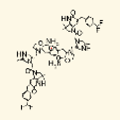 C[C@@H]1CN(CC(=O)N2CC(C)(C)c3[nH]c(=O)c(Cc4ccc(C(F)F)cc4)cc32)[C@@H](CN2CCOC(C(N)=O)C2Cc2ccc(CC3C(C(N)=O)OCCN3C[C@H]3CN[C@H](C)CN3CC(=O)N3CC(C)(C)c4[nH]c(=O)c(Cc5ccc(C(F)F)cc5)cc43)cc2)CN1